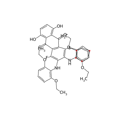 CCOc1cccc(OCC)c1Nc1c(F)c2c(c(Sc3ccccc3)c1Nc1c(OCC)cccc1OCC)C(=O)c1c(O)ccc(O)c1C2=O